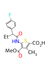 CCC(C(=O)Nc1sc(C(=O)O)c(C)c1C(=O)OC)c1ccc(F)cc1